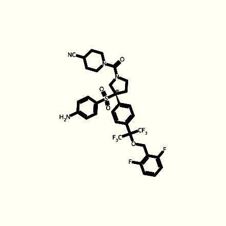 N#CC1CCN(C(=O)N2CC[C@](c3ccc(C(OCc4c(F)cccc4F)(C(F)(F)F)C(F)(F)F)cc3)(S(=O)(=O)c3ccc(N)cc3)C2)CC1